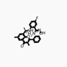 Cc1cc([C@@H](C)Nc2ccc(F)cc2/C(N)=N/O)c2oc(-c3ccccc3)c(C)c(=O)c2c1